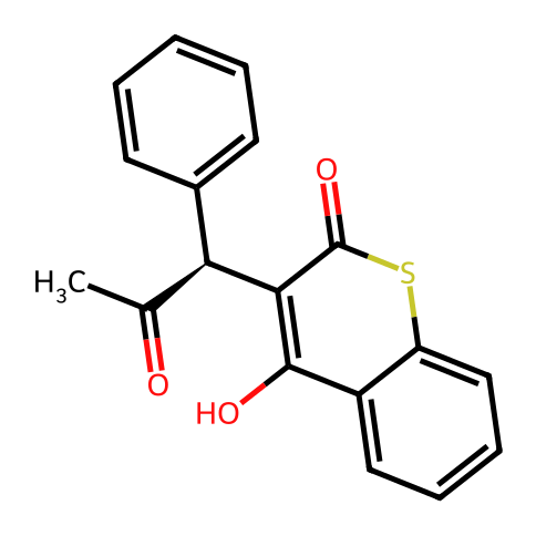 CC(=O)[C@@H](c1ccccc1)c1c(O)c2ccccc2sc1=O